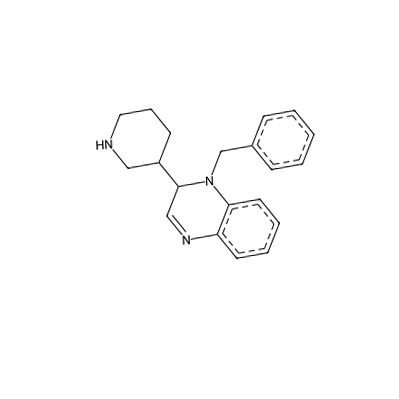 C1=Nc2ccccc2N(Cc2ccccc2)C1C1CCCNC1